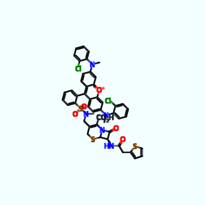 CN(c1ccc2c(-c3ccccc3S(=O)(=O)N(C)CC3=C(C(=O)O)N4C(=O)[C@@H](NC(=O)Cc5cccs5)C4SC3)c3ccc(N(C)c4ccccc4Cl)cc3[o+]c2c1)c1ccccc1Cl